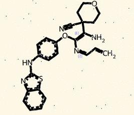 C=C/C=N\C(Oc1ccc(Nc2nc3ccccc3s2)cc1)=C(/N)C1(C#N)CCOCC1